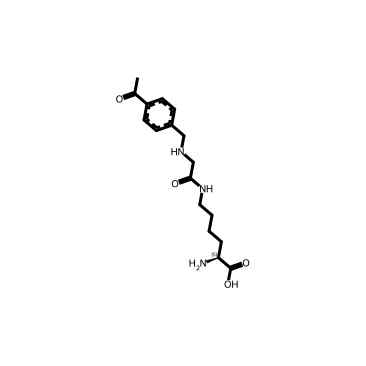 CC(=O)c1ccc(CNCC(=O)NCCCC[C@H](N)C(=O)O)cc1